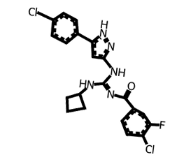 O=C(/N=C(\Nc1cc(-c2ccc(Cl)cc2)[nH]n1)NC1CCC1)c1ccc(Cl)c(F)c1